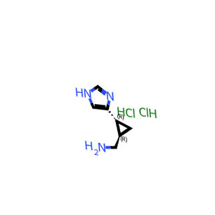 Cl.Cl.NC[C@@H]1C[C@H]1c1c[nH]cn1